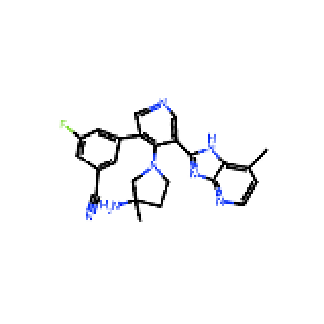 Cc1ccnc2nc(-c3cncc(-c4cc(F)cc(C#N)c4)c3N3CCC(C)(N)C3)[nH]c12